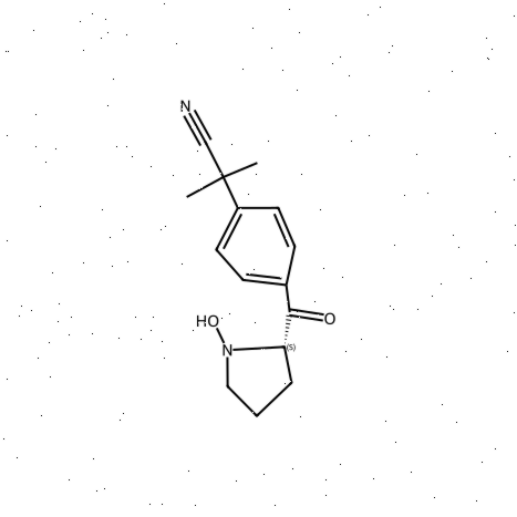 CC(C)(C#N)c1ccc(C(=O)[C@@H]2CCCN2O)cc1